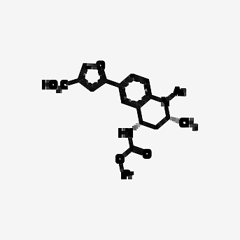 CC(=O)N1c2ccc(-c3cc(C(=O)O)co3)cc2[C@@H](NC(=O)OC(C)C)C[C@H]1C